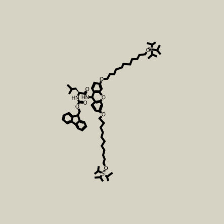 CC(C)C[C@H](NC(=O)OCC1c2ccccc2-c2ccccc21)C(=O)NC1c2ccc(OCCCCCCCCCCCO[Si](C(C)C)(C(C)C)C(C)C)cc2Oc2cc(OCCCCCCCCCCCO[Si](C(C)C)(C(C)C)C(C)C)ccc21